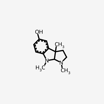 CN1CCC2(C)c3cc(O)ccc3N(C)C12